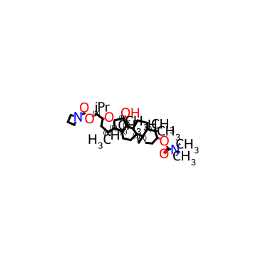 CC(C)[C@@H](OC(=O)N1CCC1)C1C[C@@H](C)[C@H]2C(O1)[C@H](O)[C@@]1(C)C3CC[C@H]4C(C)(C)C(OC(=O)N(C)C)CC[C@@]45C[C@@]35CC[C@]21C